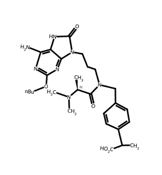 CCCCOc1nc(N)c2[nH]c(=O)n(CCCN(Cc3ccc(C(C)C(=O)O)cc3)C(=O)[C@H](C)N(C)C)c2n1